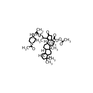 CC(=O)NN1CCN(C(C)=O)CC1.CC(=O)OOC(=O)[C@@]12CC[C@]3(C)[C@H](CC[C@@H]4[C@@]5(C)CCCC(C)(C)[C@@H]5CC[C@]43C)C1=C(C(C)C)C(=O)C2